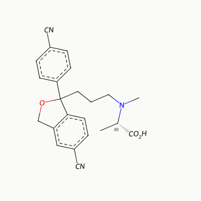 C[C@@H](C(=O)O)N(C)CCCC1(c2ccc(C#N)cc2)OCc2cc(C#N)ccc21